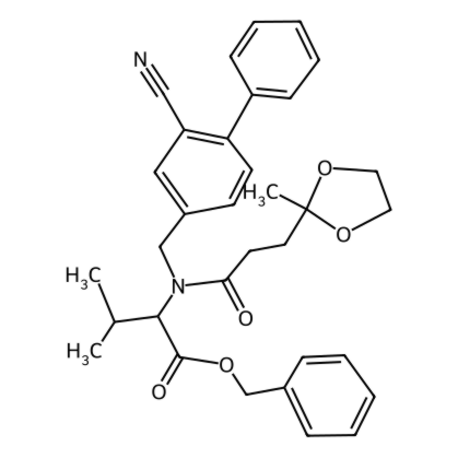 CC(C)C(C(=O)OCc1ccccc1)N(Cc1ccc(-c2ccccc2)c(C#N)c1)C(=O)CCC1(C)OCCO1